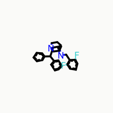 Fc1cccc(F)c1CN=C1C2CCN(CC2)C1C(c1ccccc1)c1ccccc1